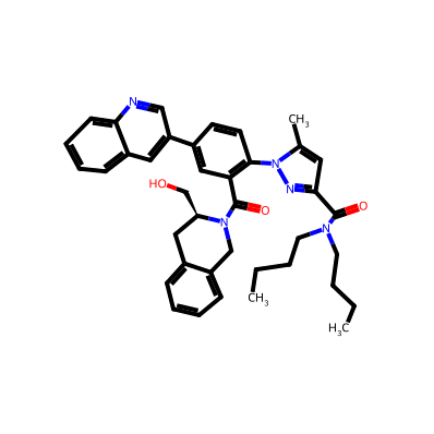 CCCCN(CCCC)C(=O)c1cc(C)n(-c2ccc(-c3cnc4ccccc4c3)cc2C(=O)N2Cc3ccccc3C[C@H]2CO)n1